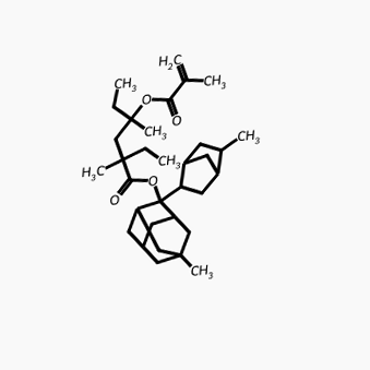 C=C(C)C(=O)OC(C)(CC)CC(C)(CC)C(=O)OC1(C2CC3CC2CC3C)C2CC3CC1CC(C)(C3)C2